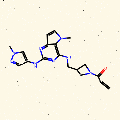 C=CC(=O)N1CC(CNc2nc(Nc3cnn(C)c3)nc3ccn(C)c23)C1